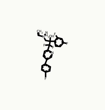 C=CN(N)CC(O)(c1ccc(F)cc1F)C(F)(F)c1ccc(-c2ccc(F)cc2)cn1